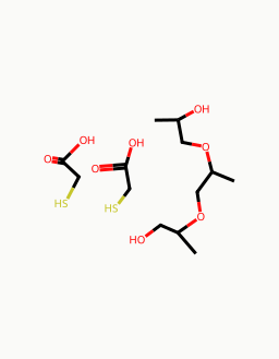 CC(O)COC(C)COC(C)CO.O=C(O)CS.O=C(O)CS